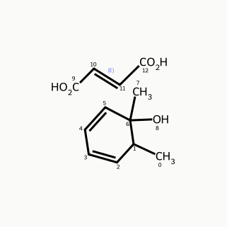 CC1C=CC=CC1(C)O.O=C(O)/C=C/C(=O)O